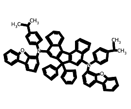 CC(C)c1ccc(N(c2cc3c(c4ccccc24)-c2c(cc(N(c4ccc(C(C)C)cc4)c4cccc5c4oc4ccccc45)c4ccccc24)C3(c2ccccc2)c2ccccc2)c2cccc3c2oc2ccccc23)cc1